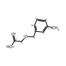 Cc1[c]c(COCC(=O)O)ccc1